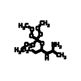 CCC(NC(C)N)O[Si](OOC)(OOC)OOC